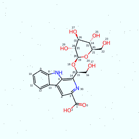 O=C(O)c1cc2c([nH]c3ccccc32)c([C@H](CO)O[C@@H]2O[C@H](CO)[C@@H](O)[C@H](O)[C@H]2O)n1